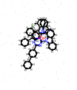 C\C=C/C=C(O)\C(=C1/C=CC=CC1C)c1c(F)cccc1-c1nc(-c2ccc(-c3ccccc3)cc2)nc(-n2c3ccccc3c3ccc4c5ccccc5n(-c5ccc(-c6ccccc6)cc5)c4c32)n1